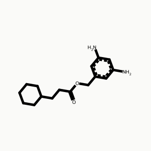 Nc1cc(N)cc(COC(=O)CCC2CCCCC2)c1